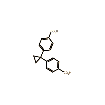 O=C(O)c1ccc(C2(c3ccc(C(=O)O)cc3)CC2)cc1